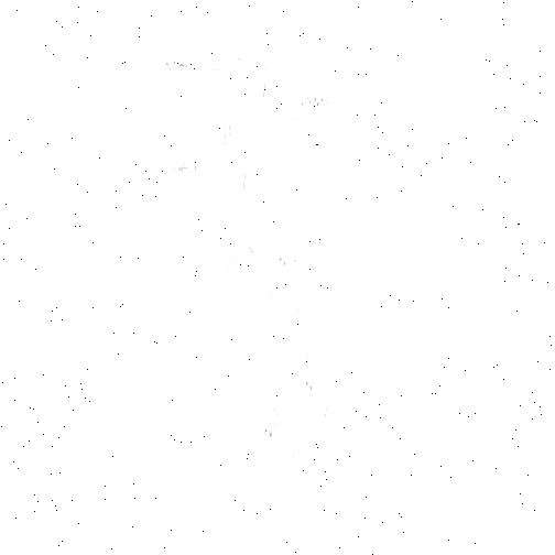 CCCCc1c(/C=C/C(=O)NCCCCN2C=NC=CC2)cc(OC)c2ccc(OC)cc12